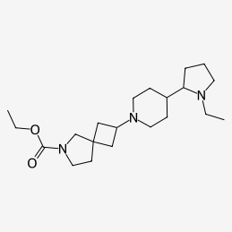 CCOC(=O)N1CCC2(CC(N3CCC(C4CCCN4CC)CC3)C2)C1